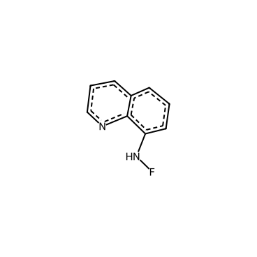 FNc1cccc2cccnc12